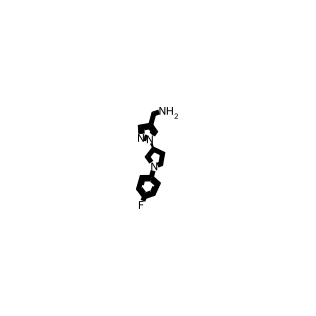 NCc1cnn([C@H]2CCN(c3ccc(F)cc3)C2)c1